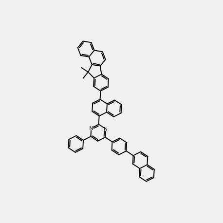 CC1(C)c2cc(-c3ccc(-c4nc(-c5ccccc5)cc(-c5ccc(-c6ccc7ccccc7c6)cc5)n4)c4ccccc34)ccc2-c2ccc3ccccc3c21